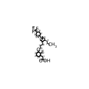 CCCc1nn(-c2ccc(C(F)(F)F)cn2)cc1CCCOc1cccc(CC(=O)O)c1F